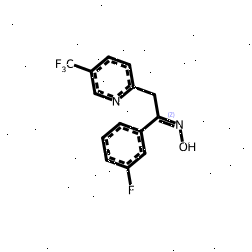 O/N=C(/Cc1ccc(C(F)(F)F)cn1)c1cccc(F)c1